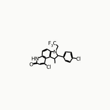 CC1c2c(ccc3[nH]c(=O)cc(Cl)c23)N(CC(F)(F)F)C1c1ccc(Cl)cc1